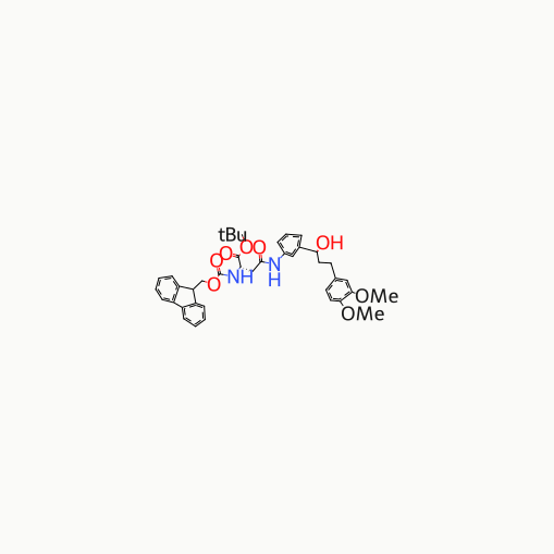 COc1ccc(CC[C@H](O)c2cccc(NC(=O)C[C@H](NC(=O)OCC3c4ccccc4-c4ccccc43)C(=O)OC(C)(C)C)c2)cc1OC